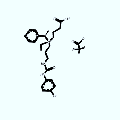 CC[N+](CCCNC(=O)Nc1ccc(Br)cc1)(CCCC(=O)O)[C@H](C)c1ccccc1.O=C([O-])C(F)(F)F